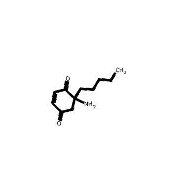 CCCCCC1(N)CC(=O)C=CC1=O